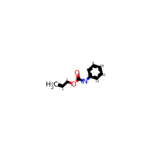 C=CCOC(=O)[N]c1ccccc1